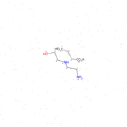 NCCNCCO.O=C(O)CCC(=O)O